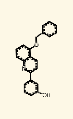 Oc1cccc(-c2ccc3c(OCc4ccccc4)cccc3n2)c1